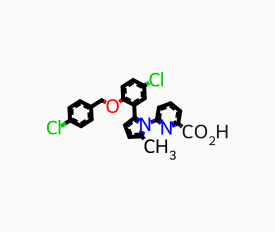 Cc1ccc(-c2cc(Cl)ccc2OCc2ccc(Cl)cc2)n1-c1cccc(C(=O)O)n1